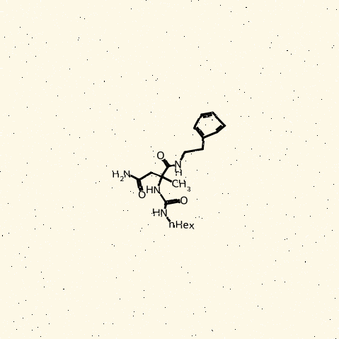 CCCCCCNC(=O)NC(C)(CC(N)=O)C(=O)NCCc1ccccc1